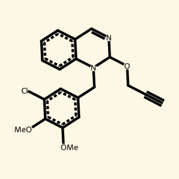 C#CCOC1N=Cc2ccccc2N1Cc1cc(Cl)c(OC)c(OC)c1